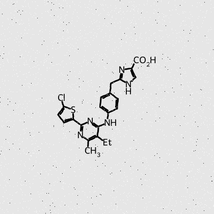 CCc1c(C)nc(-c2ccc(Cl)s2)nc1Nc1ccc(Cc2nc(C(=O)O)c[nH]2)cc1